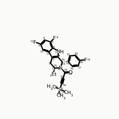 CC[C@H]1Cc2c([nH]c3c(F)cc(F)cc23)[C@H](c2ccc(F)cc2)N1C(=O)C#C[Si](C)(C)C